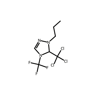 CCCN1N=CN(C(F)(F)F)C1C(Cl)(Cl)Cl